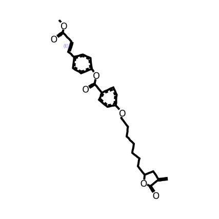 C=C1CC(CCCCCCCOc2ccc(C(=O)Oc3ccc(/C=C/C(=O)OC)cc3)cc2)OC1=O